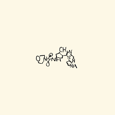 CC1CC(NS(=O)(=O)N2CCOCC2)CC1c1cnc2cnc3[nH]ccc3n12